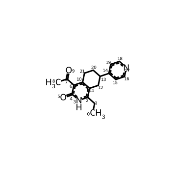 CCc1[nH]c(=O)c(C(C)=O)c2c1CC(c1ccncc1)CC2